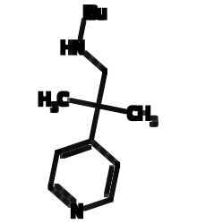 CCC(C)NCC(C)(C)c1ccncc1